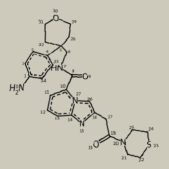 Nc1ccc(C2(CNC(=O)c3cccc4nc(CC(=O)N5CCSCC5)cn34)CCOCC2)cc1